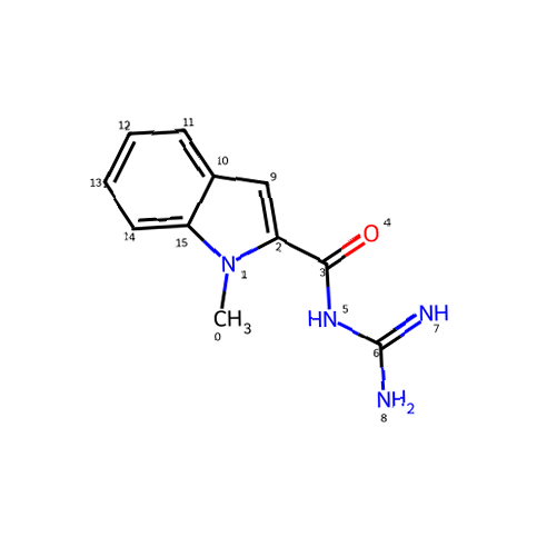 Cn1c(C(=O)NC(=N)N)cc2cc[c]cc21